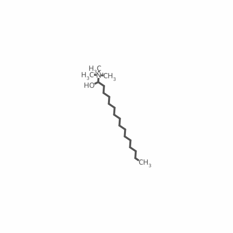 CCCCCCCCCCCCCCCC(O)[N+](C)(C)C